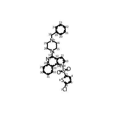 O=S(=O)(c1ccc(Cl)s1)n1ccc2c(N3CCN(Cc4ccccc4)CC3)nc3ccccc3c21